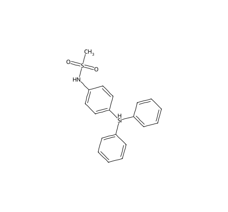 CS(=O)(=O)Nc1ccc([SiH](c2ccccc2)c2ccccc2)cc1